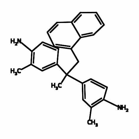 Cc1cc(C(C)(Cc2cccc3ccccc23)c2ccc(N)c(C)c2)ccc1N